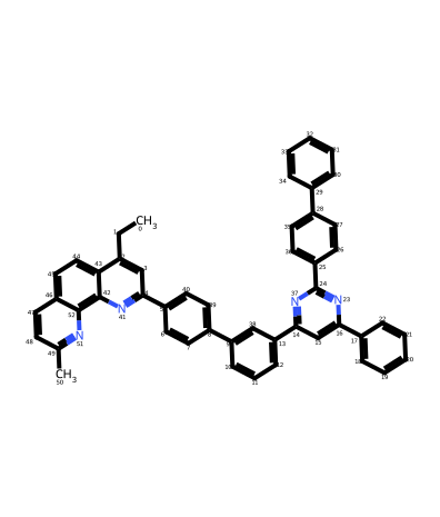 CCc1cc(-c2ccc(-c3cccc(-c4cc(-c5ccccc5)nc(-c5ccc(-c6ccccc6)cc5)n4)c3)cc2)nc2c1ccc1ccc(C)nc12